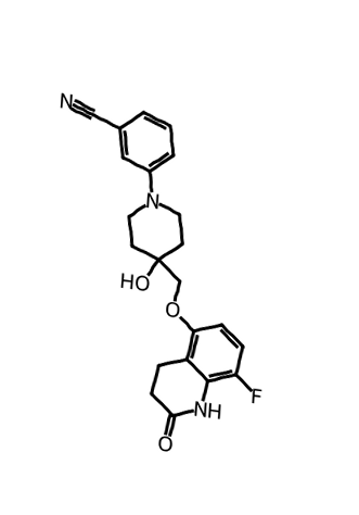 N#Cc1cccc(N2CCC(O)(COc3ccc(F)c4c3CCC(=O)N4)CC2)c1